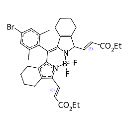 CCOC(=O)/C=C/c1c2c(c3n1[B-](F)(F)N1C(=C3c3c(C)cc(Br)cc3C)C3=C(CCCC3)C1/C=C/C(=O)OCC)CCCC2